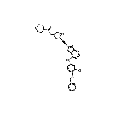 O=C(OC1CNC(C#Cc2cc3c(Nc4ccc(OCc5ccccn5)c(Cl)c4)ncnc3s2)C1)N1CCOCC1